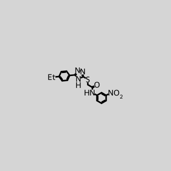 CCc1ccc(-c2nnc(SCC(=O)Nc3cccc([N+](=O)[O-])c3)[nH]2)cc1